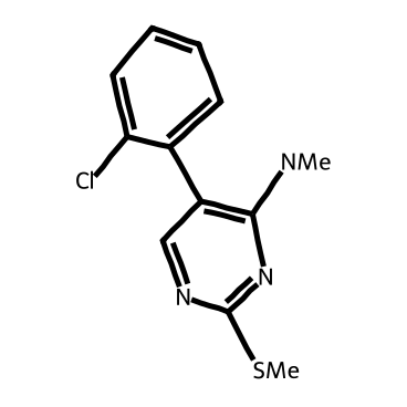 CNc1nc(SC)ncc1-c1ccccc1Cl